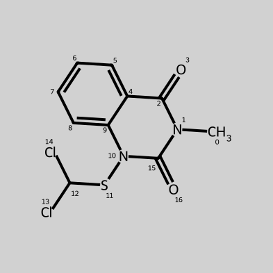 Cn1c(=O)c2ccccc2n(SC(Cl)Cl)c1=O